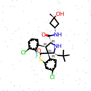 CC(C)(C)C[C@H]1N[C@@H](C(=O)N[C@H]2C[C@@](C)(O)C2)[C@H](c2cccc(Cl)c2F)[C@@]12C(=O)Sc1cc(Cl)ccc12